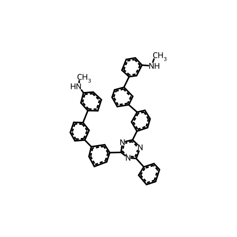 CNc1cccc(-c2cccc(-c3cccc(-c4nc(-c5ccccc5)nc(-c5cccc(-c6cccc(-c7cccc(NC)c7)c6)c5)n4)c3)c2)c1